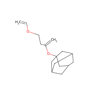 C=COCCC(=C)OC12CC3CC(CC(C3)C1)C2